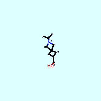 CC(C)N1CC2(CC(CO)C2)C1